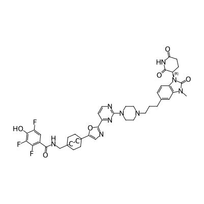 Cn1c(=O)n([C@@H]2CCC(=O)NC2=O)c2ccc(CCCN3CCN(c4nccc(-c5ncc(C67CCC(CNC(=O)c8cc(F)c(O)c(F)c8F)(CC6)CC7)o5)n4)CC3)cc21